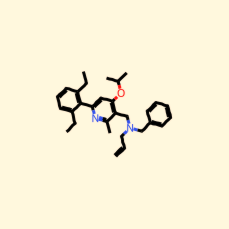 C=CCN(Cc1ccccc1)Cc1c(OC(C)C)cc(-c2c(CC)cccc2CC)nc1C